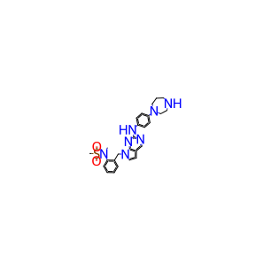 CN(c1ccccc1Cn1ccc2cnc(Nc3ccc(N4CCCNCC4)cc3)nc21)S(C)(=O)=O